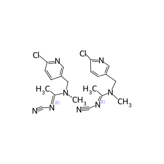 C/C(=N\C#N)N(C)Cc1ccc(Cl)nc1.C/C(=N\C#N)N(C)Cc1ccc(Cl)nc1